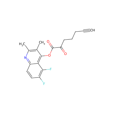 C#CCCCC(=O)C(=O)Oc1c(C)c(C)nc2ccc(F)c(F)c12